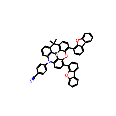 CC1(C)c2cccc3c2B2c4c(ccc(-c5cccc6c5oc5ccccc56)c4Oc4c(-c5cccc6c5oc5ccccc56)ccc1c42)N3c1ccc(C#N)cc1